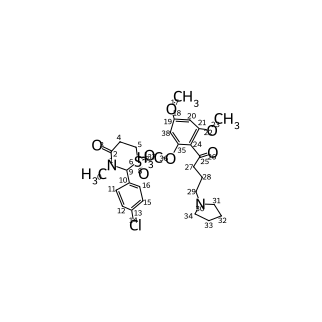 CN1C(=O)CCS(=O)(=O)C1c1ccc(Cl)cc1.COc1cc(OC)c(C(=O)CCCN2CCCC2)c(OC)c1